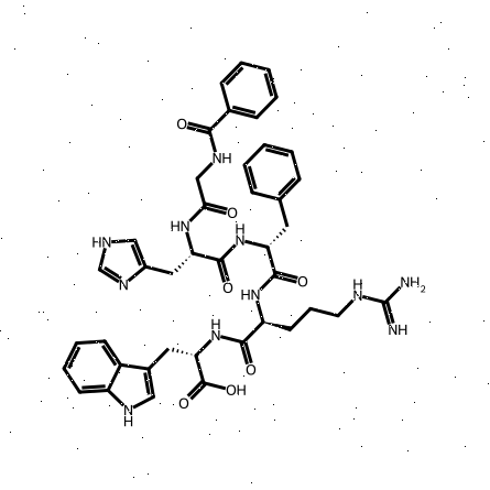 N=C(N)NCCC[C@H](NC(=O)[C@@H](Cc1ccccc1)NC(=O)[C@H](Cc1c[nH]cn1)NC(=O)CNC(=O)c1ccccc1)C(=O)N[C@@H](Cc1c[nH]c2ccccc12)C(=O)O